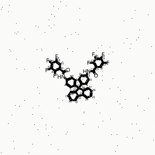 O=C(Nc1ccc(C2(c3ccc(NC(=O)c4cc(F)c(F)c(F)c4F)cc3)c3ccccc3-c3ccccc32)cc1)c1cc(F)c(F)c(F)c1F